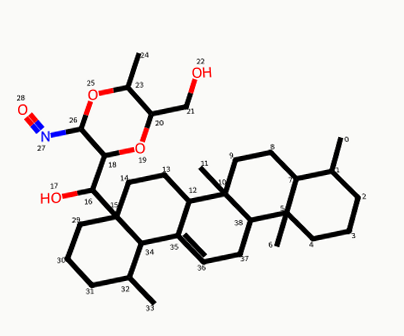 CC1CCCC2(C)C1CCC1(C)C3CCC4(C(O)C5OC(CO)C(C)OC5N=O)CCCC(C)C4C3=CCC12